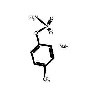 NS(=O)(=O)Oc1ccc(C(F)(F)F)cc1.[NaH]